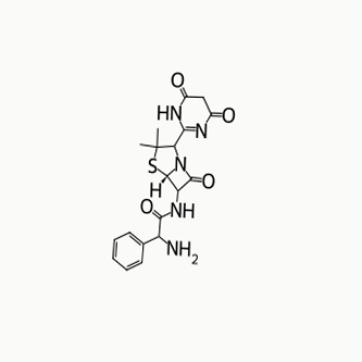 CC1(C)S[C@H]2C(NC(=O)C(N)c3ccccc3)C(=O)N2C1C1=NC(=O)CC(=O)N1